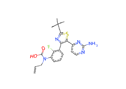 C=CCN(C(=O)O)c1cccc(-c2nc(C(C)(C)C)sc2-c2ccnc(N)n2)c1F